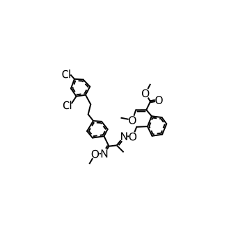 CO/C=C(/C(=O)OC)c1ccccc1CO/N=C(C)/C(=N/OC)c1ccc(CCc2ccc(Cl)cc2Cl)cc1